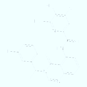 CC(c1cccc(F)c1)n1cnc2cccc(NC(=O)c3cc(Cl)c(O)c(C(F)(F)F)n3)c2c1=O